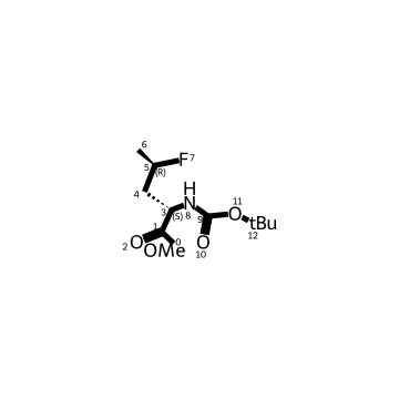 COC(=O)[C@H](C[C@@H](C)F)NC(=O)OC(C)(C)C